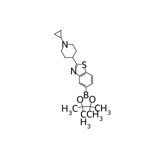 CC1(C)OB(c2ccc3sc(C4CCN(C5CC5)CC4)nc3c2)OC1(C)C